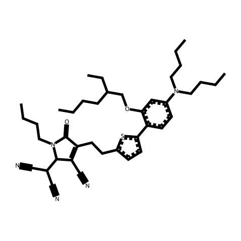 CCCCC(CC)COc1cc(N(CCCC)CCCC)ccc1-c1ccc(CCC2=C(C#N)C(C(C#N)C#N)N(CCCC)C2=O)s1